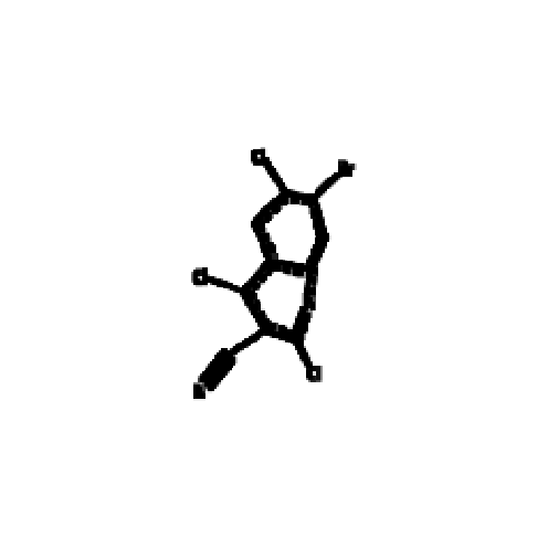 N#Cc1c(Cl)nc2cc(Br)c(Cl)cc2c1Cl